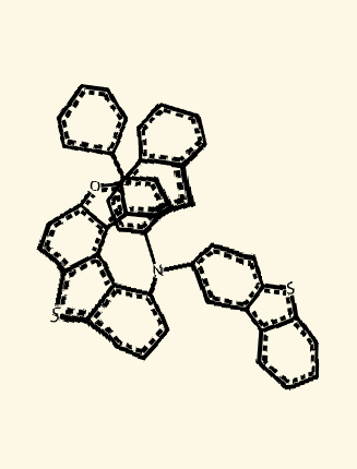 c1ccc(-c2ccc(N(c3ccc4sc5ccccc5c4c3)c3cccc4sc5ccc6oc7c8ccccc8ccc7c6c5c34)cc2)cc1